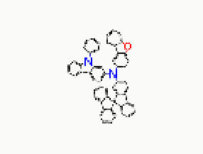 c1ccc(-n2c3ccccc3c3ccc(N(c4ccc5c(c4)C4(c6ccccc6-c6ccccc64)c4ccccc4-5)c4ccc5oc6ccccc6c5c4)cc32)cc1